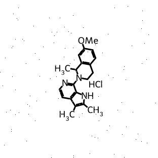 COc1ccc2c(c1)C(C)N(c1nccc3c(C)c(C)[nH]c13)CC2.Cl